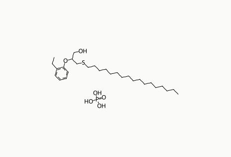 CCCCCCCCCCCCCCCCCSCC(CO)Oc1ccccc1CC.O=P(O)(O)O